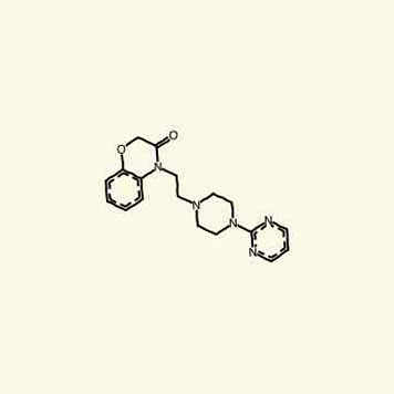 O=C1COc2ccccc2N1CCN1CCN(c2ncccn2)CC1